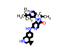 CC(C)n1c(=O)c2cnc(Nc3ccc4c(c3)CNCC43CC3)cc2n1-c1ccnc(C(C)(C)C)c1